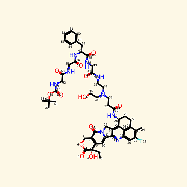 CC[C@@]1(O)C(=O)OCc2c1cc1n(c2=O)Cc2c-1nc1cc(F)c(C)c3c1c2[C@@H](NC(=O)CCN(CCO)CCNC(=O)CNC(=O)[C@H](Cc1ccccc1)NC(=O)CNC(=O)CNC(=O)OC(C)(C)C)CC3